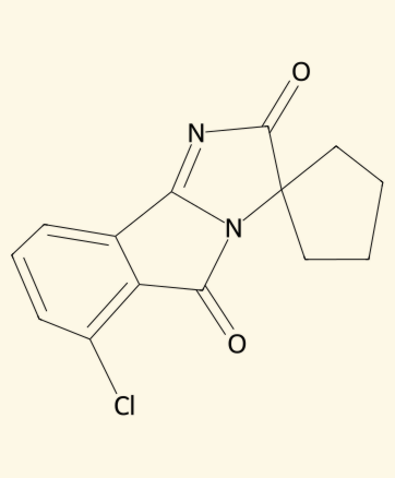 O=C1c2c(Cl)cccc2C2=NC(=O)C3(CCCC3)N12